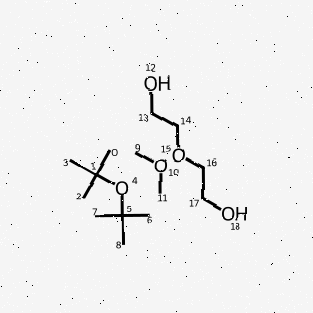 CC(C)(C)OC(C)(C)C.COC.OCCOCCO